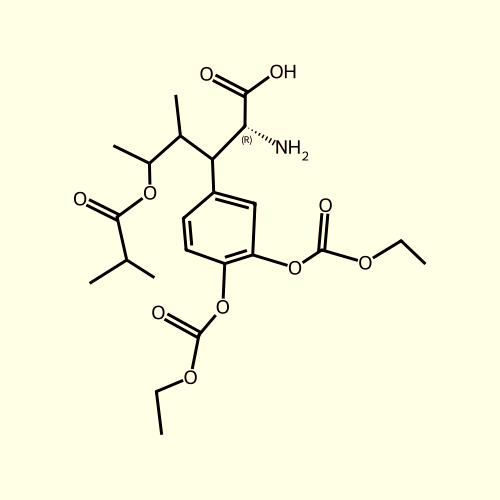 CCOC(=O)Oc1ccc(C(C(C)C(C)OC(=O)C(C)C)[C@@H](N)C(=O)O)cc1OC(=O)OCC